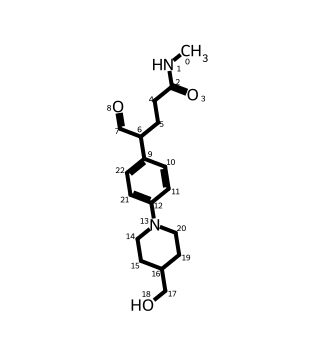 CNC(=O)CCC(C=O)c1ccc(N2CCC(CO)CC2)cc1